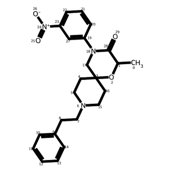 CC1OC2(CCN(CCc3ccccc3)CC2)CN(c2cccc([N+](=O)[O-])c2)C1=O